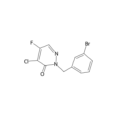 O=c1c(Cl)c(F)cnn1Cc1cccc(Br)c1